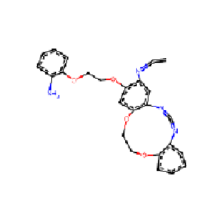 C=C=Nc1cc2c(cc1OCCOc1ccccc1N)OCCOc1ccccc1N=C=N2